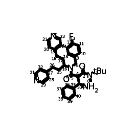 CN(C(=O)C(C(=O)N(Cc1ccc(F)cc1)C(CCc1ccncc1)CCc1ccncc1)C(N)c1ccccc1)C(C)(C)C